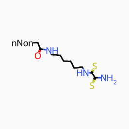 CCCCCCCCCCC(=O)NCCCCCCNC(=S)C(N)=S